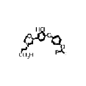 Cl.O=C(O)CCN1CCOC(c2ccc(Oc3ccc(OC(F)F)cc3)cc2)C1